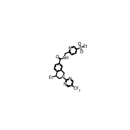 CCC1CN(c2ncc(C(F)(F)F)cn2)Cc2cc(C(=O)NCc3ccc(S(=O)(=O)CC)cn3)ccc21